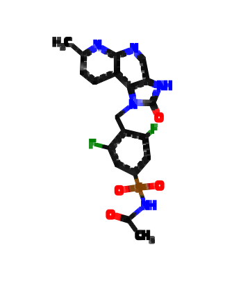 CC(=O)NS(=O)(=O)c1cc(F)c(Cn2c(=O)[nH]c3cnc4nc(C)ccc4c32)c(F)c1